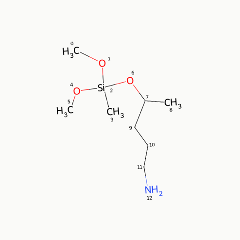 CO[Si](C)(OC)OC(C)CCCN